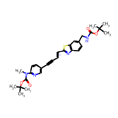 CN(C(=O)OC(C)(C)C)c1ccc(C#C/C=C/c2nc3ccc(CNC(=O)OC(C)(C)C)cc3s2)cn1